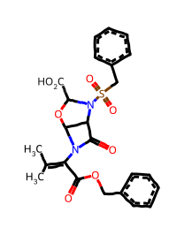 CC(C)=C(C(=O)OCc1ccccc1)N1C(=O)C2C1OC(C(=O)O)N2S(=O)(=O)Cc1ccccc1